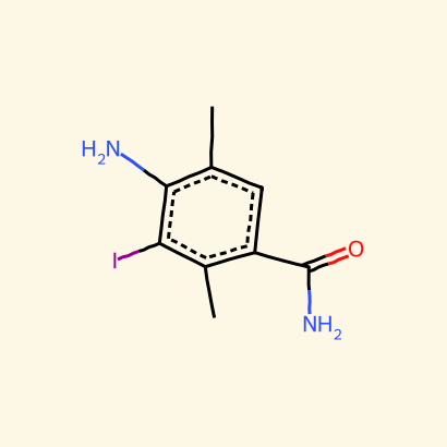 Cc1cc(C(N)=O)c(C)c(I)c1N